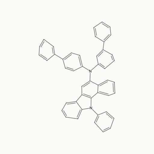 c1ccc(-c2ccc(N(c3cccc(-c4ccccc4)c3)c3cc4c5ccccc5n(-c5ccccc5)c4c4ccccc34)cc2)cc1